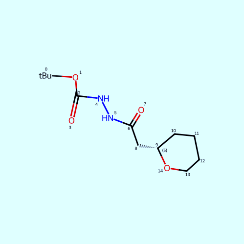 CC(C)(C)OC(=O)NNC(=O)C[C@@H]1CCCCO1